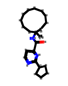 BC1(NC(=O)c2ccnc(C3CCCC3)n2)CCCCCCCCCC1